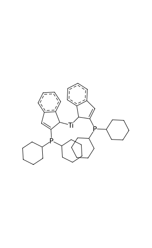 C1=C(P(C2CCCCC2)C2CCCCC2)[CH]([Ti][CH]2C(P(C3CCCCC3)C3CCCCC3)=Cc3ccccc32)c2ccccc21